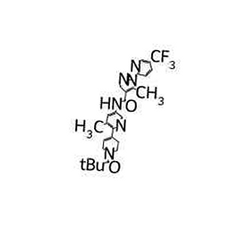 Cc1cc(NC(=O)c2cnn(-c3ccc(C(F)(F)F)cn3)c2C)cnc1C1=CCN(C(=O)C(C)(C)C)CC1